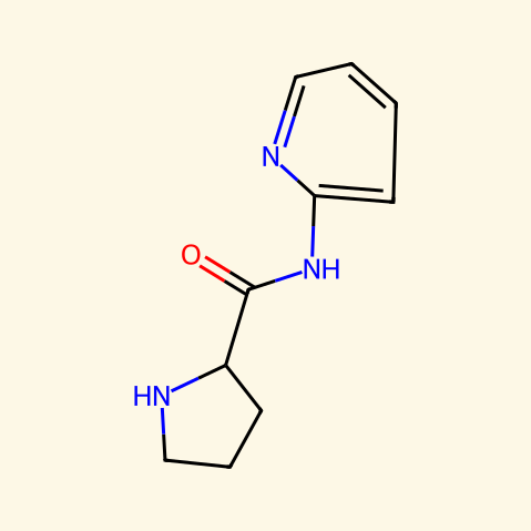 O=C(Nc1ccccn1)C1CCCN1